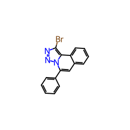 Brc1nnn2c(-c3ccccc3)cc3ccccc3c12